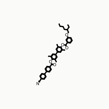 CCCCC(CC)COc1cccc(C(=O)Oc2c(C)cc(-c3cc(C)c(OC(=O)c4ccc(-c5ccc(C#N)cc5)cc4)c(C)c3)cc2C)c1